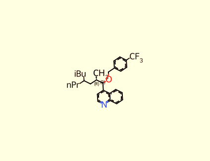 CCCC(C[C@@H](C)[C@@H](OCc1ccc(C(F)(F)F)cc1)c1ccnc2ccccc12)C(C)CC